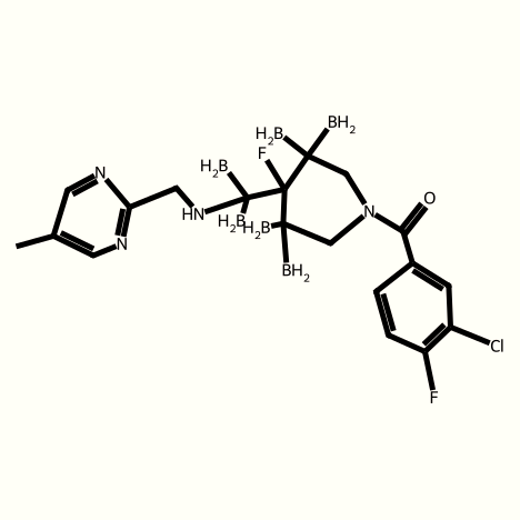 BC1(B)CN(C(=O)c2ccc(F)c(Cl)c2)CC(B)(B)C1(F)C(B)(B)NCc1ncc(C)cn1